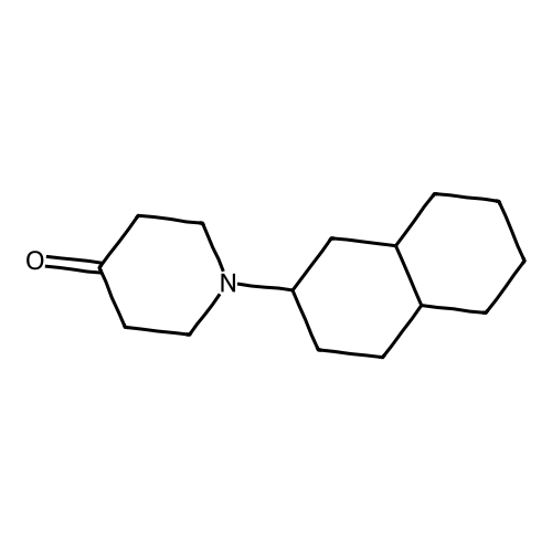 O=C1CCN(C2CCC3CCCCC3C2)CC1